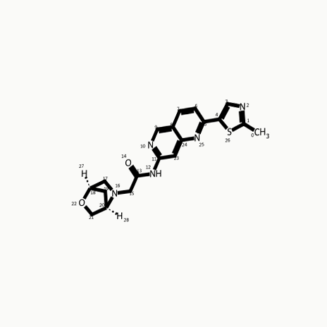 Cc1ncc(-c2ccc3cnc(NC(=O)CN4C[C@H]5C[C@@H]4CO5)cc3n2)s1